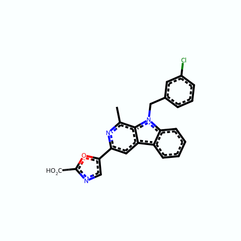 Cc1nc(-c2cnc(C(=O)O)o2)cc2c3ccccc3n(Cc3cccc(Cl)c3)c12